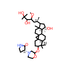 COC(C[C@@H](C)C1C[C@H](O)[C@@]2(C)C3CC[C@H]4C(C)(C)C(OC5CN([C@@H]6CCNC6=O)CCO5)CCC45CC35CCC12C)C(O)C(C)(C)O